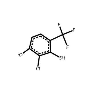 [O]c1ccc(C(F)(F)F)c(S)c1Cl